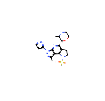 CC1NCCO[C@H]1c1nc2c(c(C#N)nn2-c2cc[nH]n2)c2c1CCN2S(C)(=O)=O